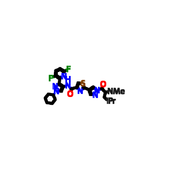 CNC(CC(C)C)C(=O)n1cc(-c2nc(C(=O)Nc3cn(C4CCCCC4)nc3-c3nc(F)ccc3F)cs2)cn1